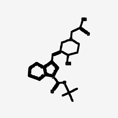 CC(C)(C)OC(=O)n1cc(/C=C2/CN(CC(=O)O)CCC2O)c2ccccc21